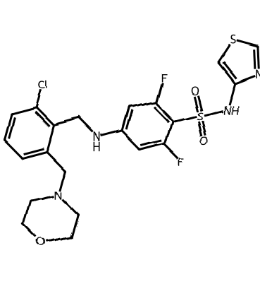 O=S(=O)(Nc1cscn1)c1c(F)cc(NCc2c(Cl)cccc2CN2CCOCC2)cc1F